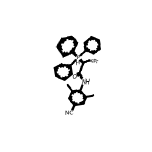 CCCC(C(=O)Nc1c(C)cc(C#N)cc1C)[PH](c1ccccc1)(c1ccccc1)c1ccccc1